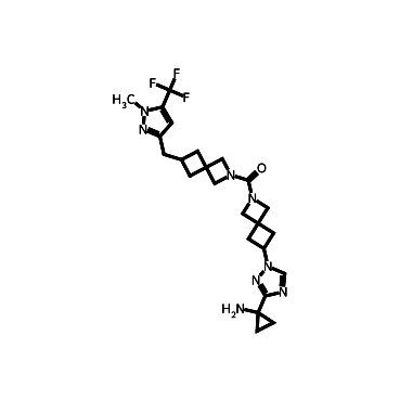 Cn1nc(CC2CC3(C2)CN(C(=O)N2CC4(CC(n5cnc(C6(N)CC6)n5)C4)C2)C3)cc1C(F)(F)F